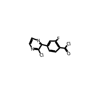 O=C(Cl)c1ccc(-c2nccnc2Cl)cc1F